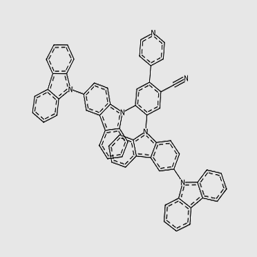 N#Cc1cc(-n2c3ccccc3c3cc(-n4c5ccccc5c5ccccc54)ccc32)c(-n2c3ccccc3c3cc(-n4c5ccccc5c5ccccc54)ccc32)cc1-c1ccncc1